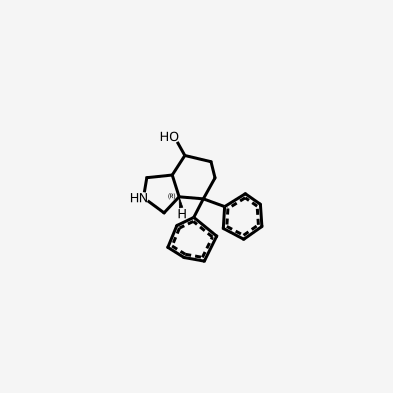 OC1CCC(c2ccccc2)(c2ccccc2)[C@@H]2CNCC12